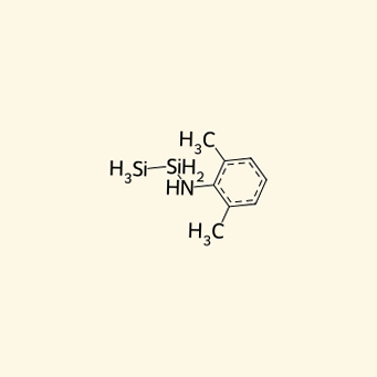 Cc1cccc(C)c1N[SiH2][SiH3]